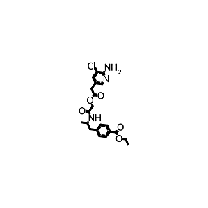 CCOC(=O)c1ccc(CC(C)NC(=O)COC(=O)Cc2cnc(N)c(Cl)c2)cc1